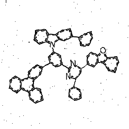 c1ccc(-c2ccc3c4ccccc4n(-c4cc(-c5ccc6c7ccccc7c7ccccc7c6c5)cc(-c5nc(-c6ccccc6)cc(-c6ccc7oc8ccccc8c7c6)n5)c4)c3c2)cc1